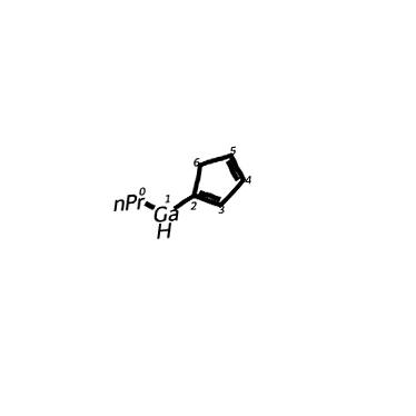 CC[CH2][GaH][C]1=CC=CC1